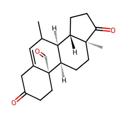 CC1C=C2CC(=O)CC[C@]2(C=O)[C@@H]2CC[C@]3(C)C(=O)CC[C@H]3[C@H]12